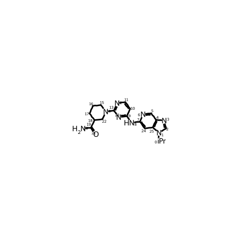 CC(C)n1cnc2cnc(Nc3ccnc(N4CCCC(C(N)=O)C4)n3)cc21